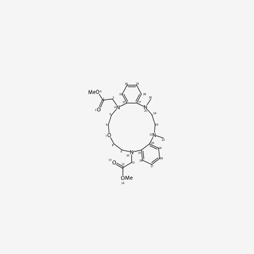 COC(=O)CN1CCOCCN(CC(=O)OC)c2ccccc2N(C)CCN(C)c2ccccc21